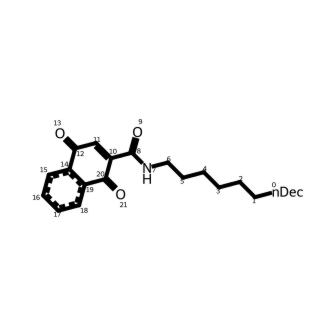 CCCCCCCCCCCCCCCCNC(=O)C1=CC(=O)c2ccccc2C1=O